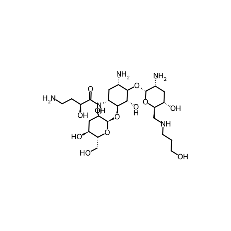 NCC[C@H](O)C(=O)N[C@@H]1C[C@H](N)C(O[C@H]2O[C@H](CNCCCO)[C@@H](O)C[C@H]2N)[C@H](O)[C@H]1O[C@H]1O[C@H](CO)[C@@H](O)C[C@H]1O